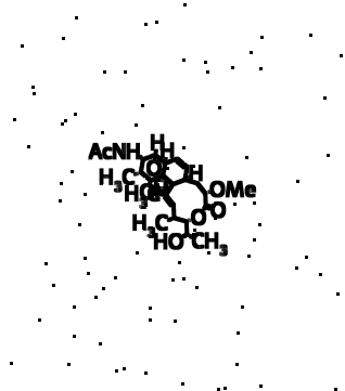 CO[C@H]1C[C@@H]2C=C[C@@H]3[C@@H]4O[C@@]2(/C(C)=C/[C@H](C)[C@@H]([C@@H](C)O)OC1=O)[C@H]3[C@@H](O)[C@H](C)[C@H]4NC(C)=O